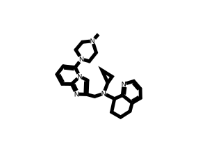 CN1CCN(c2cccc3nc(CN(C4CC4)C4CCCc5cccnc54)cn23)CC1